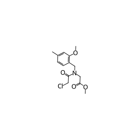 COC(=O)CN(Cc1ccc(C)cc1OC)C(=O)CCl